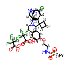 CCCS(=O)(=O)NCCOc1ccc2c(c1)C(C1(c3cccc(Cl)c3)CCC1)N(CCN)CC2.O=C(O)C(F)(F)F.O=C(O)C(F)(F)F